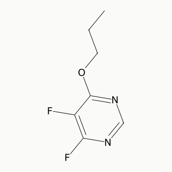 CCCOc1ncnc(F)c1F